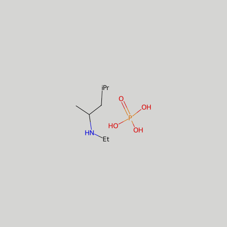 CCNC(C)CC(C)C.O=P(O)(O)O